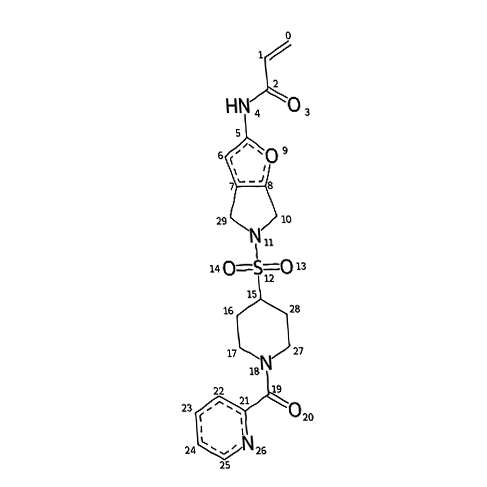 C=CC(=O)Nc1cc2c(o1)CN(S(=O)(=O)C1CCN(C(=O)c3ccccn3)CC1)C2